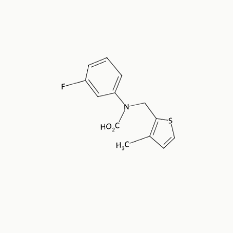 Cc1ccsc1CN(C(=O)O)c1cccc(F)c1